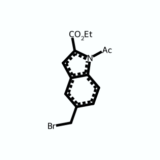 CCOC(=O)c1cc2cc(CBr)ccc2n1C(C)=O